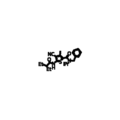 CCC(CC)C(=O)Nc1sc(C(=O)N(Cc2ccccc2)C(C)C)c(C)c1C#N